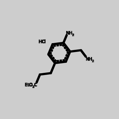 CCOC(=O)CCc1ccc(N)c(CN)c1.Cl